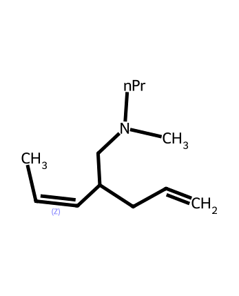 C=CCC(/C=C\C)CN(C)CCC